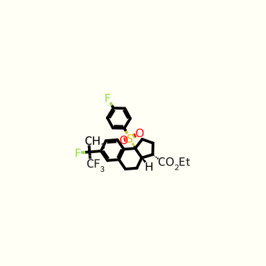 CCOC(=O)[C@H]1CC[C@@]2(S(=O)(=O)c3ccc(F)cc3)c3ccc(C(C)(F)C(F)(F)F)cc3CC[C@@H]12